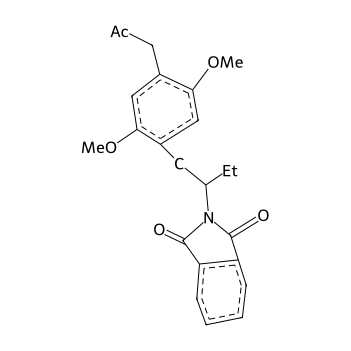 CCC(Cc1cc(OC)c(CC(C)=O)cc1OC)N1C(=O)c2ccccc2C1=O